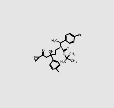 C[C@@H](c1ccc(Br)cc1)N(CCC(O)(CC(=O)C1CO1)c1ccc(F)cc1)C(=O)OC(C)(C)C